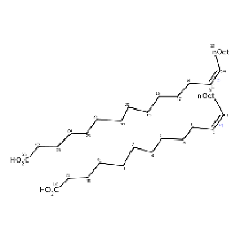 CCCCCCCC/C=C\CCCCCCCCCC(=O)O.CCCCCCCC/C=C\CCCCCCCCCCCC(=O)O